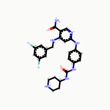 NC(=O)c1cnc(Nc2ccc(NC(=O)NC3CCNCC3)cc2)cc1NCc1cc(F)cc(F)c1